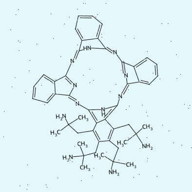 CC(C)(N)Cc1c(CC(C)(C)N)c(CC(C)(C)N)c2c3nc4nc(nc5[nH]c(nc6nc(nc([nH]3)c2c1CC(C)(C)N)-c1ccccc1-6)c1ccccc51)-c1ccccc1-4